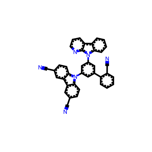 N#Cc1ccc2c(c1)c1cc(C#N)ccc1n2-c1cc(-c2ccccc2C#N)cc(-n2c3ccccc3c3cccnc32)c1